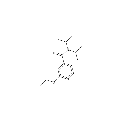 CCOc1cc(C(=O)N(C(C)C)C(C)C)ccn1